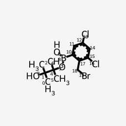 CC(C)(O)C(C)(C)OB(O)c1cc(Cl)cc(Cl)c1CBr